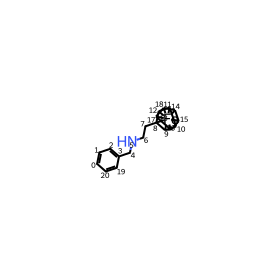 c1ccc(CNCC[C]23[CH]4[CH]5[CH]6[CH]2[Fe]56432789[CH]3[CH]2[CH]7[CH]8[CH]39)cc1